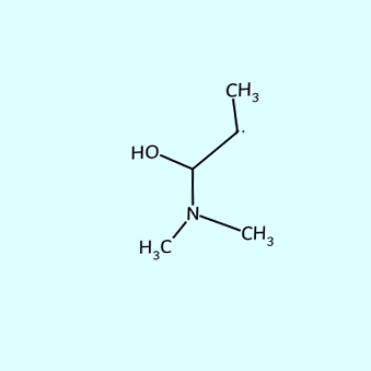 C[CH]C(O)N(C)C